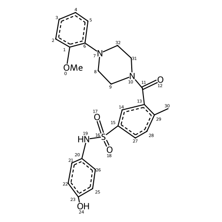 COc1ccccc1N1CCN(C(=O)c2cc(S(=O)(=O)Nc3ccc(O)cc3)ccc2C)CC1